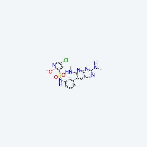 CNc1ncc2cc(-c3cc(NS(=O)(=O)c4cc(Cl)cnc4OC)ccc3C)c(NC)nc2n1